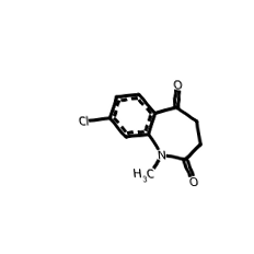 CN1C(=O)CCC(=O)c2ccc(Cl)cc21